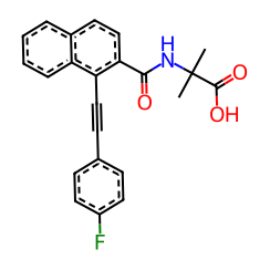 CC(C)(NC(=O)c1ccc2ccccc2c1C#Cc1ccc(F)cc1)C(=O)O